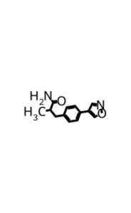 CC(Cc1ccc(-c2cnoc2)cc1)C(N)=O